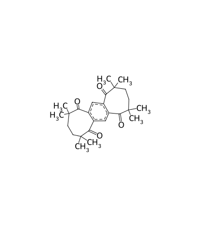 CC1(C)CCC(C)(C)C(=O)c2cc3c(cc2C1=O)C(=O)C(C)(C)CCC(C)(C)C3=O